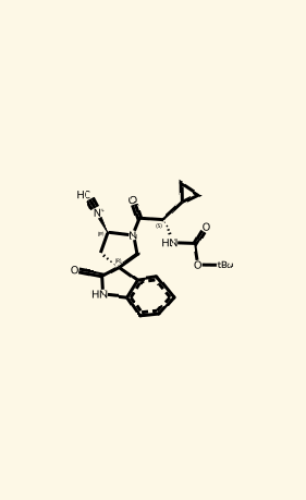 C#[N+][C@@H]1C[C@@]2(CN1C(=O)[C@@H](NC(=O)OC(C)(C)C)C1CC1)C(=O)Nc1ccccc12